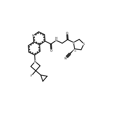 N#C[C@@H]1CSCN1C(=O)CNC(=O)c1ccnc2ccc(N3CC(F)(C4CC4)C3)cc12